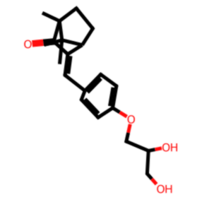 CC12CCC(C(=Cc3ccc(OCC(O)CO)cc3)C1=O)C2(C)C